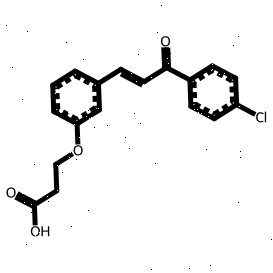 O=C(O)CCOc1cccc(C=CC(=O)c2ccc(Cl)cc2)c1